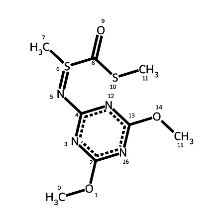 COc1nc(N=S(C)C(=O)SC)nc(OC)n1